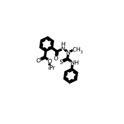 CC(C)OC(=O)c1ccccc1C(=O)NN(C)C(=S)Nc1ccccc1